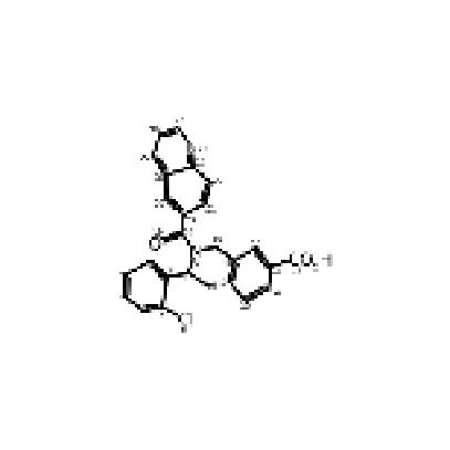 CC(c1ccccc1Cl)N(Cc1cccc(C(=O)O)c1)C(=O)c1ccc2ncccc2c1